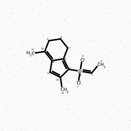 C[CH]=[Zr]([Cl])([Cl])[C]1=C2CCCC(C)=C2C=C1C